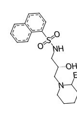 CCC1CCCCN1C[C@@H](O)CNS(=O)(=O)c1cccc2ccccc12